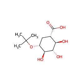 CC(C)(C)O[C@@H]1C[C@H](C(=O)O)[C@@H](O)[C@H](O)[C@H]1O